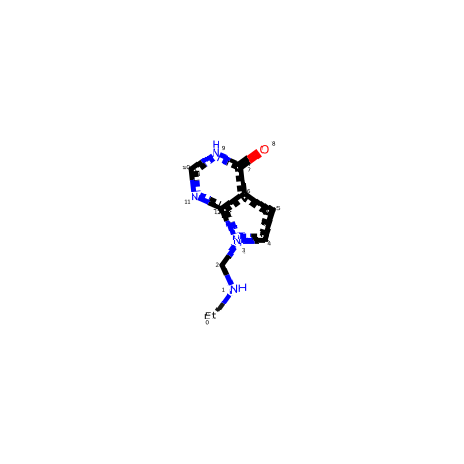 CCNCn1ccc2c(=O)[nH]cnc21